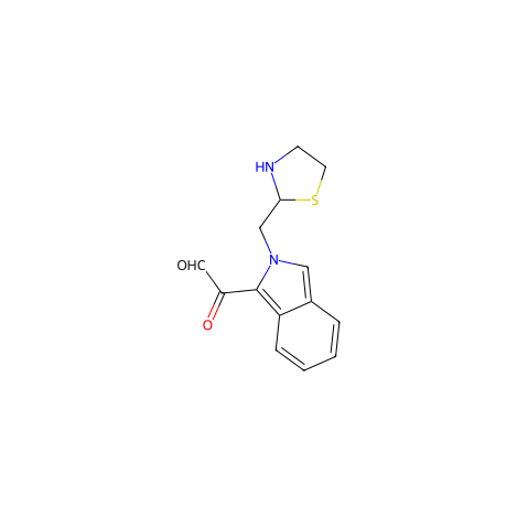 O=CC(=O)c1c2ccccc2cn1CC1NCCS1